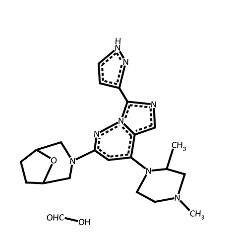 CC1CN(C)CCN1c1cc(N2CC3CCC(C2)O3)nn2c(-c3cc[nH]n3)ncc12.O=CO